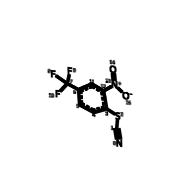 N#CSc1ccc(C(F)(F)F)cc1[N+](=O)[O-]